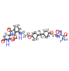 CN(C)C(=O)c1noc(COc2ccc(C(C)(C)c3ccc(OCCCNc4cccc5c4C(=O)N(C4CCC(=O)NC4=O)C5=O)cc3)cc2)n1